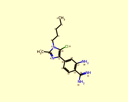 CCCCCn1c(C)nc(-c2ccc(C(=N)N)c(N)c2)c1Cl